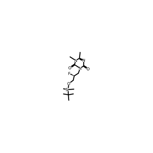 Cc1nc(=O)n(C[C@H](F)CO[Si](C)(C)C(C)(C)C)c(=O)n1C